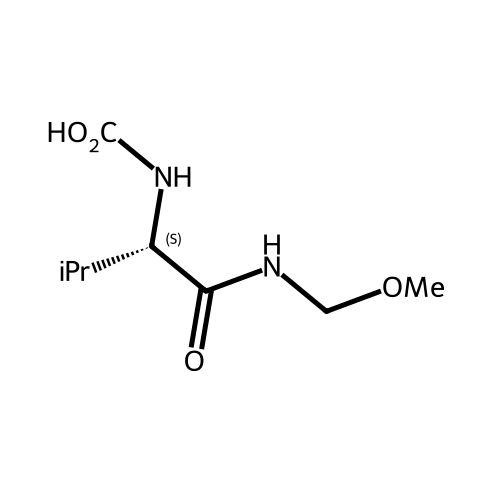 COCNC(=O)[C@@H](NC(=O)O)C(C)C